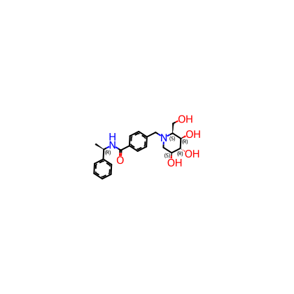 C[C@@H](NC(=O)c1ccc(CN2C[C@H](O)[C@@H](O)[C@H](O)[C@@H]2CO)cc1)c1ccccc1